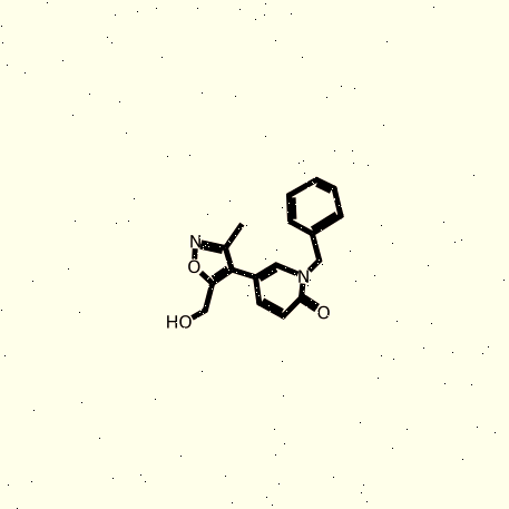 Cc1noc(CO)c1-c1ccc(=O)n(Cc2ccccc2)c1